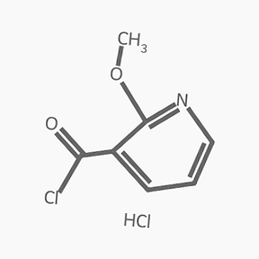 COc1ncccc1C(=O)Cl.Cl